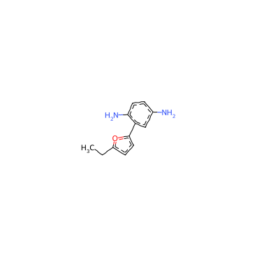 CCc1ccc(-c2cc(N)ccc2N)o1